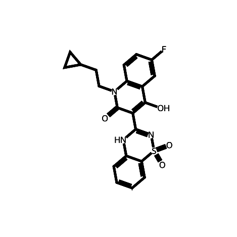 O=c1c(C2=NS(=O)(=O)c3c[c]ccc3N2)c(O)c2cc(F)ccc2n1CCC1CC1